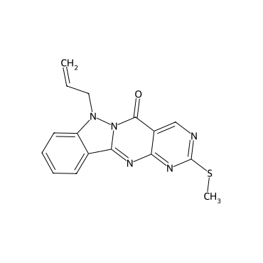 C=CCn1c2ccccc2c2nc3nc(SC)ncc3c(=O)n21